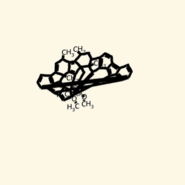 CO[Si](CCCC12C3=C4C5=C1[C@]1(C)c6c7c8c(ccc9c%10ccc%11c%12ccc%13c%14c(c1c1c6c(c89)c%10c%11c1c%14%12)C2(C)C%13CC3C)C(=CC4C)C57C)(OC)OC